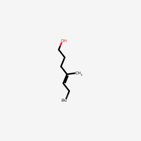 CCC(C)C/C=C(\C)CCCO